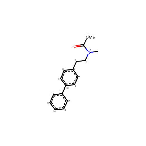 COC(=O)N(C)CCc1ccc(-c2ccccc2)cc1